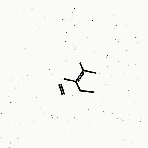 C=C.CCC(C)=C(C)C